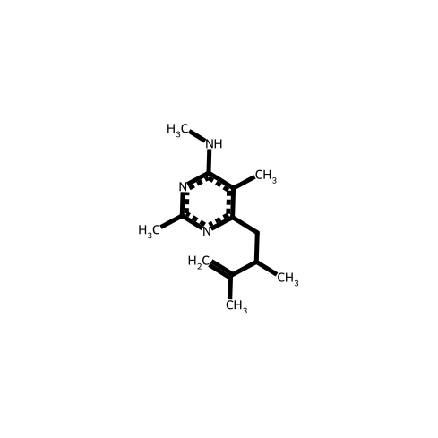 C=C(C)C(C)Cc1nc(C)nc(NC)c1C